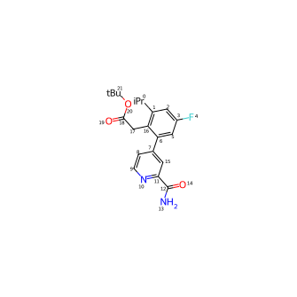 CC(C)c1cc(F)cc(-c2ccnc(C(N)=O)c2)c1CC(=O)OC(C)(C)C